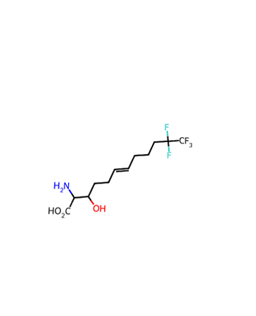 NC(C(=O)O)C(O)CC/C=C/CCCC(F)(F)C(F)(F)F